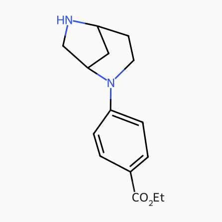 CCOC(=O)c1ccc(N2CCC3CC2CN3)cc1